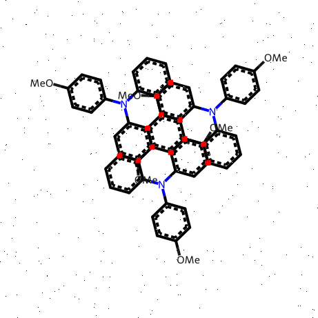 COc1ccc(N(c2ccc(OC)cc2)c2ccccc2-c2cc(-c3ccccc3N(c3ccc(OC)cc3)c3ccc(OC)cc3)cc(-c3ccccc3N(c3ccc(OC)cc3)c3ccc(OC)cc3)c2)cc1